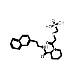 O=C(NCCc1ccc2ccccc2c1)C1CCCCN1C(=O)CSCP(=O)(O)O